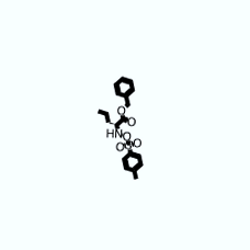 CCC[C@@H](NOS(=O)(=O)c1ccc(C)cc1)C(=O)OCc1ccccc1